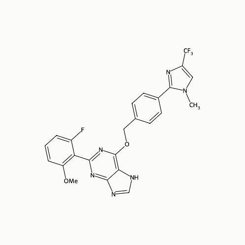 COc1cccc(F)c1-c1nc(OCc2ccc(-c3nc(C(F)(F)F)cn3C)cc2)c2[nH]cnc2n1